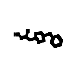 ON=C(Cl)Cc1ccc(Oc2ccccc2)cn1